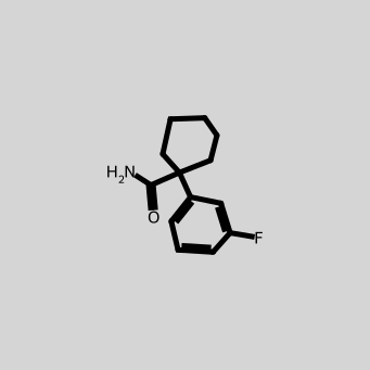 NC(=O)C1(c2cccc(F)c2)CCCCC1